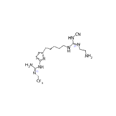 N#CN/C(=N/CCN)NCCCCCc1csc(N/C(N)=N\CC(F)(F)F)n1